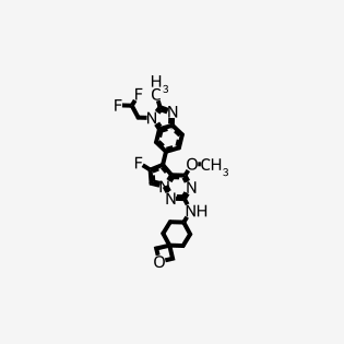 COc1nc(NC2CCC3(CC2)COC3)nn2cc(F)c(-c3ccc4nc(C)n(CC(F)F)c4c3)c12